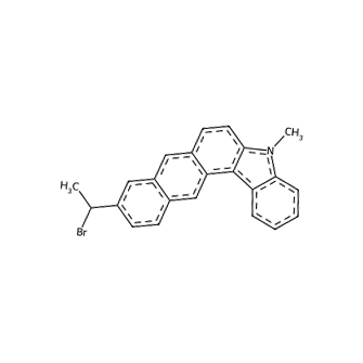 CC(Br)c1ccc2cc3c(ccc4c3c3ccccc3n4C)cc2c1